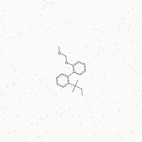 CCC(C)(C)c1ccccc1-c1ccccc1OCOC